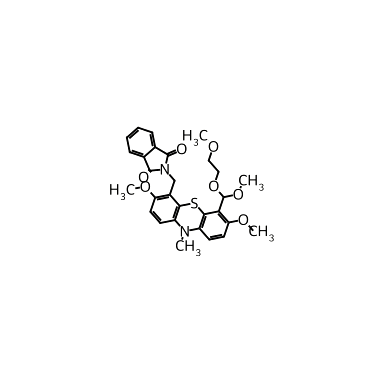 COCCOC(OC)c1c(OC)ccc2c1Sc1c(ccc(OC)c1CN1C(=O)c3ccccc3C1=O)N2C